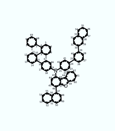 c1ccc(-c2ccccc2-c2ccccc2-c2ccc(N(c3ccc(-c4cccc(-c5ccc6ccccc6c5)c4)cc3)c3ccc(-c4cccc5ccccc45)c4oc5ccccc5c34)cc2)cc1